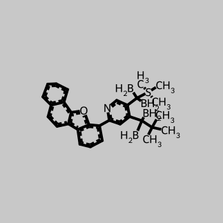 BC(B)(c1cc(-c2cccc3c2oc2c4ccccc4ccc32)ncc1C(B)(B)S(C)(C)C)C(C)(C)C